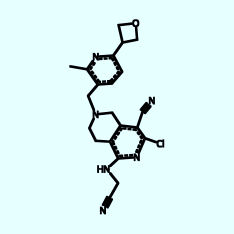 Cc1nc(C2COC2)ccc1CN1CCc2c(NCC#N)nc(Cl)c(C#N)c2C1